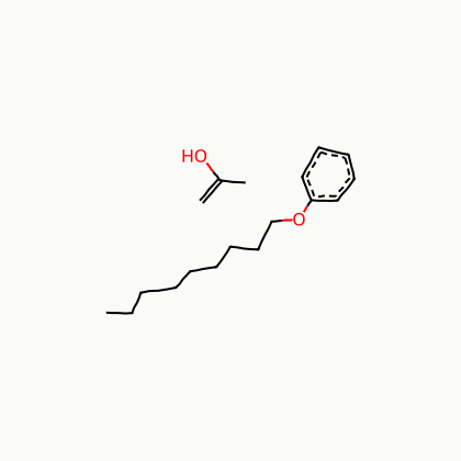 C=C(C)O.CCCCCCCCCOc1ccccc1